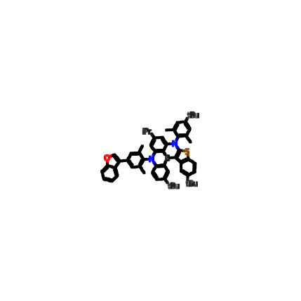 Cc1cc(-c2coc3ccccc23)cc(C)c1N1c2ccc(C(C)(C)C)cc2B2c3c1cc(C(C)C)cc3N(c1c(C)cc(C(C)(C)C)cc1C)c1sc3ccc(C(C)(C)C)cc3c12